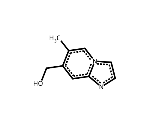 Cc1cn2ccnc2cc1CO